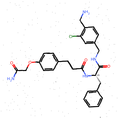 NCc1ccc(CNC(=O)[C@H](Cc2ccccc2)NC(=O)[CH]Cc2ccc(OCC(N)=O)cc2)cc1Cl